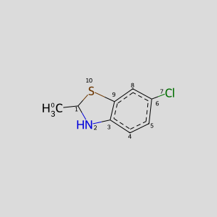 CC1Nc2ccc(Cl)cc2S1